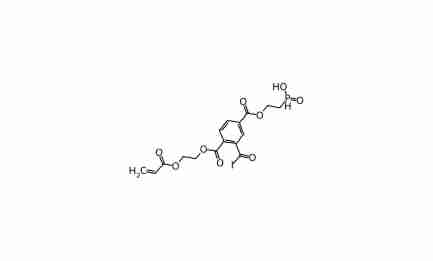 C=CC(=O)OCCOC(=O)c1ccc(C(=O)OCC[PH](=O)O)cc1C(=O)I